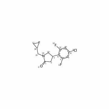 O=C1CC(c2c(F)cc(Cl)cc2F)CN1CC1CC1